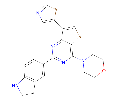 c1ncc(-c2csc3c(N4CCOCC4)nc(-c4ccc5c(c4)CCN5)nc23)s1